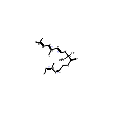 C=C(CC/C=C\C(C)=C/C)C(CC)(C/C=C/C(C)=C/C=C(C)C)CCC